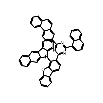 c1ccc2cc3c(cc2c1)c1ccccc1n3-c1c(-c2nc(-c3ccc4c(ccc5ccccc54)c3)nc(-c3cccc4ccccc34)n2)ccc2c1oc1ccccc12